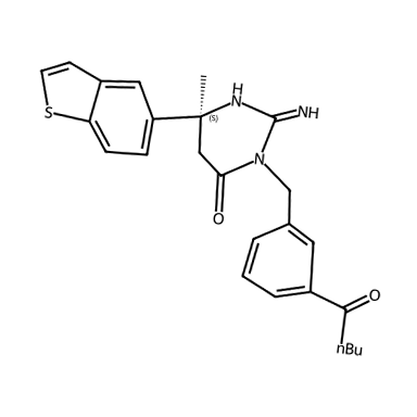 CCCCC(=O)c1cccc(CN2C(=N)N[C@](C)(c3ccc4sccc4c3)CC2=O)c1